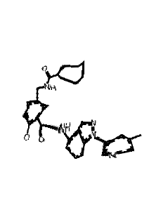 Cc1cncc(-n2ncc3c(NC(=O)c4cc(CNC(=O)C5CCCC5)ccc4Cl)cccc32)c1